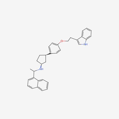 CC(N[C@H]1CC[C@@H](c2ccc(OCCc3c[nH]c4ccccc34)cc2)C1)c1cccc2ccccc12